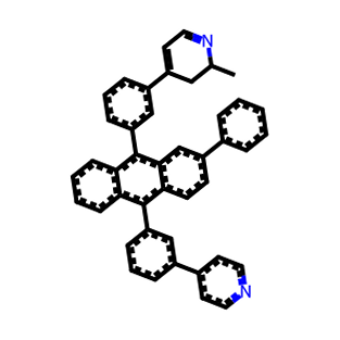 CC1CC(c2cccc(-c3c4ccccc4c(-c4cccc(-c5ccncc5)c4)c4ccc(-c5ccccc5)cc34)c2)=CC=N1